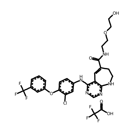 O=C(NCCOCCO)C1=Cc2c(ncnc2Nc2ccc(Oc3cccc(C(F)(F)F)c3)c(Cl)c2)NCC1.O=C(O)C(F)(F)F